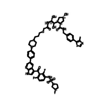 Cc1ncsc1-c1ccc(CNC(=O)[C@@H]2C[C@@H](O)CN2C(O)[C@@H](NC(=O)COCCCN2CCN(c3ccc(-c4cnc5[nH]cc(C(=O)c6c(F)ccc(NS(=O)(=O)N7CC[C@@H](F)C7)c6F)c5c4)cc3)CC2)C(C)(C)C)cc1